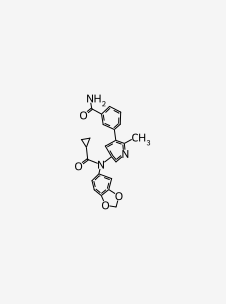 Cc1ncc(N(C(=O)C2CC2)c2ccc3c(c2)OCO3)cc1-c1cccc(C(N)=O)c1